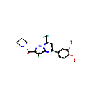 COc1ccc(-c2cc(C(F)(F)F)n3nc(C(=O)N4CCCC4)c(Cl)c3n2)cc1OC